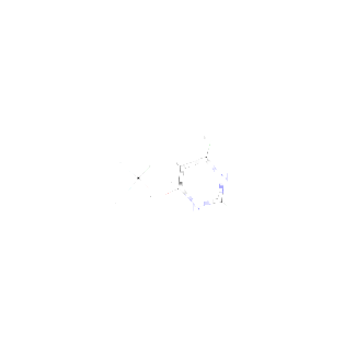 FC(F)(Cl)Oc1cc(Cl)nc(Cl)n1